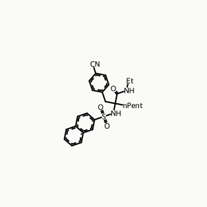 CCCCCC(Cc1ccc(C#N)cc1)(NS(=O)(=O)c1ccc2ccccc2c1)C(=O)NCC